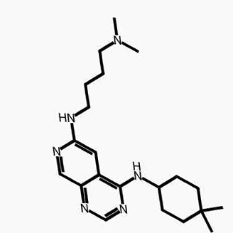 CN(C)CCCCNc1cc2c(NC3CCC(C)(C)CC3)ncnc2cn1